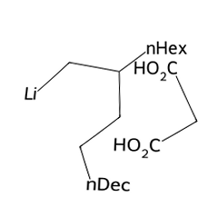 O=C(O)CC(=O)O.[Li][CH2]C(CCCCCC)CCCCCCCCCCCC